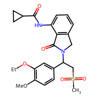 CCOc1cc(C(CS(C)(=O)=O)N2Cc3cccc(NC(=O)C4CC4)c3C2=O)ccc1OC